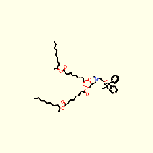 CCCCCCCCC(C)OC(=O)CCCCCCC(=O)OCC(CN(C)CCO[Si](c1ccccc1)(c1ccccc1)C(C)(C)C)OC(=O)CCCCCCC(=O)OC(C)CCCCCCCC